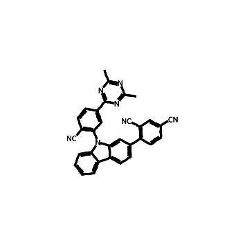 Cc1nc(C)nc(-c2ccc(C#N)c(-n3c4ccccc4c4ccc(-c5ccc(C#N)cc5C#N)cc43)c2)n1